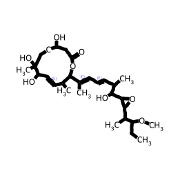 CCC(OC)C(C)C1OC1C(O)C(C)/C=C/C=C(\C)C1OC(=O)CC(O)CCC(C)(O)C(O)/C=C/C1C